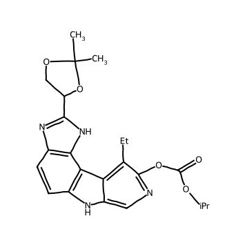 CCc1c(OC(=O)OC(C)C)ncc2[nH]c3ccc4nc(C5COC(C)(C)O5)[nH]c4c3c12